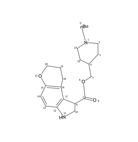 CCCCN1CCC(COC(=O)C2CNc3ccc4c(c32)CCCO4)CC1